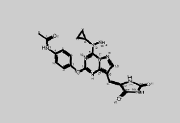 CC(=O)Nc1ccc(Oc2nc(N(N)C3CC3)n3ncc(/C=C4\NC(=O)NC4=O)c3n2)cc1